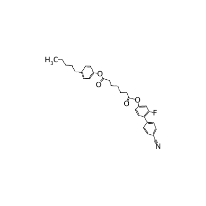 CCCCCc1ccc(OC(=O)CCCCCC(=O)Oc2ccc(-c3ccc(C#N)cc3)c(F)c2)cc1